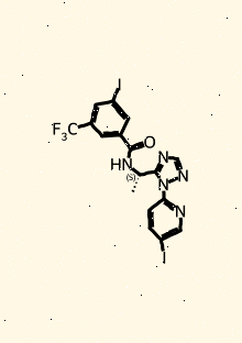 C[C@H](NC(=O)c1cc(I)cc(C(F)(F)F)c1)c1ncnn1-c1ccc(I)cn1